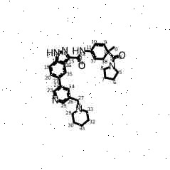 CC1(C(=O)N2CCCC2)C=CC(NC(=O)c2n[nH]c3ccc(-c4cncc(CN5CCCCC5)c4)cc23)=CC1